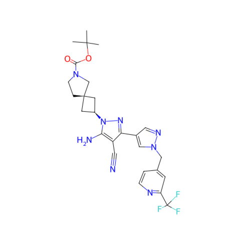 CC(C)(C)OC(=O)N1CC[C@]2(C1)C[C@H](n1nc(-c3cnn(Cc4ccnc(C(F)(F)F)c4)c3)c(C#N)c1N)C2